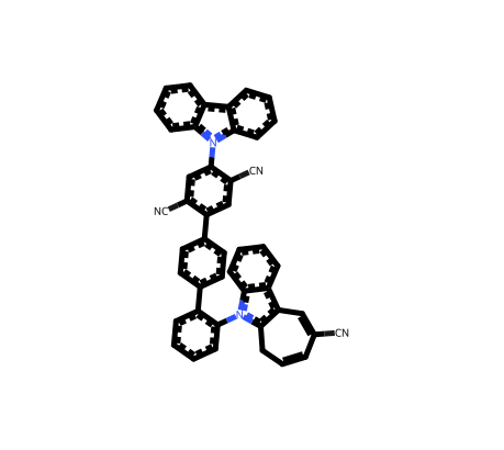 N#CC1=Cc2c(n(-c3ccccc3-c3ccc(-c4cc(C#N)c(-n5c6ccccc6c6ccccc65)cc4C#N)cc3)c3ccccc23)CC=C1